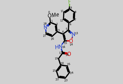 COc1cc(-c2c(-c3ccc(F)cc3)noc2NC(=O)Cc2ccccc2)ccn1